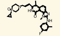 Cc1cc(F)ccc1Nc1nc2ccc3c(C)c(C=CCN4CCP(=O)(C5CC5)CC4)[nH]c(=O)c3c2n1C